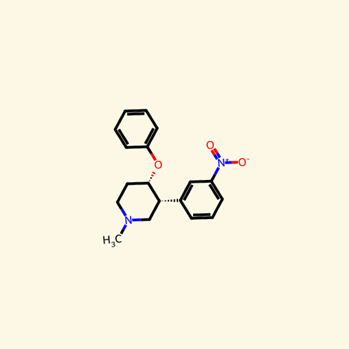 CN1CC[C@H](Oc2ccccc2)[C@H](c2cccc([N+](=O)[O-])c2)C1